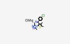 COC[C@@H]1N=C(c2ccc(Cl)cc2)c2c(sc(C)c2C)-n2c(C)nnc21